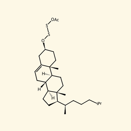 CC(=O)OSSO[C@H]1CC[C@@]2(C)C(=CC[C@H]3[C@@H]4CC[C@H]([C@H](C)CCCC(C)C)[C@@]4(C)CC[C@@H]32)C1